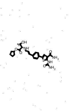 C[C@@H](O)[C@H](NCC=Cc1ccc(-c2cc(C(N)=O)c(NC(N)=O)s2)cc1)C(=O)OC1CCCC1